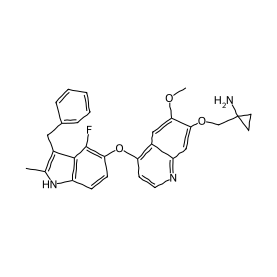 COc1cc2c(Oc3ccc4[nH]c(C)c(Cc5ccccc5)c4c3F)ccnc2cc1OCC1(N)CC1